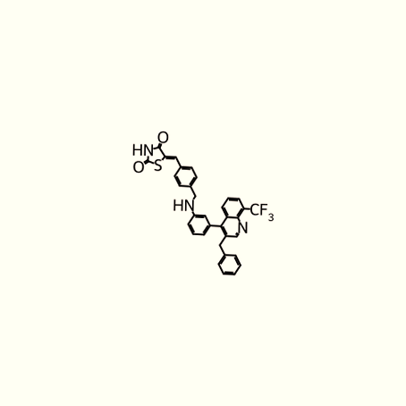 O=C1NC(=O)/C(=C/c2ccc(CNc3cccc(-c4c(Cc5ccccc5)cnc5c(C(F)(F)F)cccc45)c3)cc2)S1